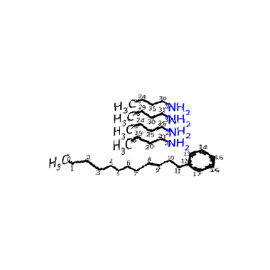 CCCCCCCCCCCCc1ccccc1.CCCCN.CCCCN.CCCCN.CCCCN